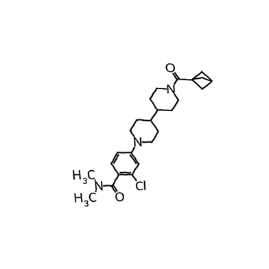 CN(C)C(=O)c1ccc(N2CCC(C3CCN(C(=O)C45CC(C4)C5)CC3)CC2)cc1Cl